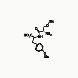 CC(C)(C)OC[C@H](N)C(=O)N[C@@H](Cc1ccc(OC(C)(C)C)cc1)C(=O)O